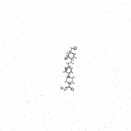 CC(=O)N1CCN(c2ccc(CCc3ccc(CCl)cc3F)nc2)CC1